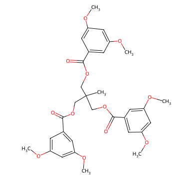 COc1cc(OC)cc(C(=O)OCC(C)(COC(=O)c2cc(OC)cc(OC)c2)COC(=O)c2cc(OC)cc(OC)c2)c1